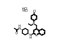 CCN(Cc1cc(N[C@H]2CC[C@@H](NC(C)=O)CC2)nc2ccccc12)c1ccc(Cl)cc1.Cl.Cl